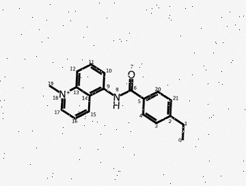 CCc1ccc(C(=O)Nc2cccc3c2ccc[n+]3C)cc1